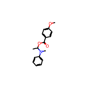 COc1ccc(C(=O)OC(C)N(C)c2ccccc2)cc1